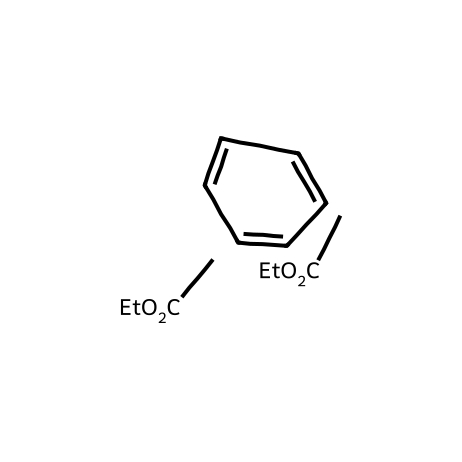 CCOC(C)=O.CCOC(C)=O.c1ccccc1